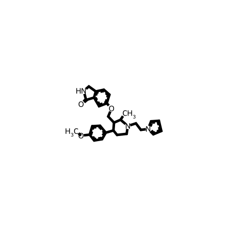 COc1ccc(C2CCN(CCn3cccc3)C(C)C2COc2ccc3c(c2)C(=O)NC3)cc1